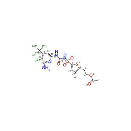 CC(=O)OCCc1sc(S(=O)(=O)NC(=O)Nc2cc(C(F)(F)F)c(F)c(N)n2)cc1C